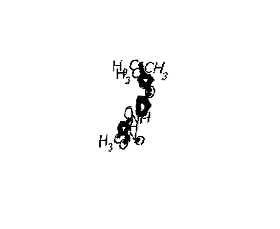 CCC(C)(C)c1ccc(Oc2ccc(NC(=O)c3ccc(C)c(C(=O)NC=O)c3)cc2)cc1